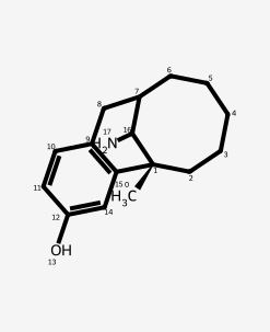 C[C@@]12CCCCCC(Cc3ccc(O)cc31)C2N